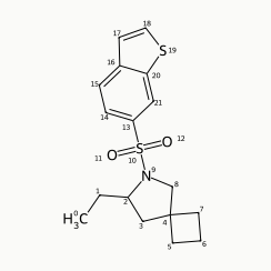 CCC1CC2(CCC2)CN1S(=O)(=O)c1ccc2ccsc2c1